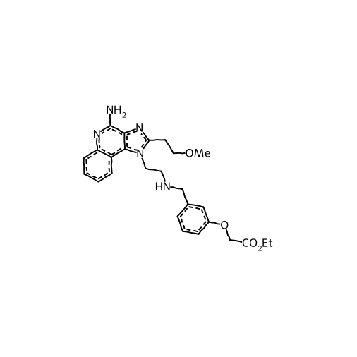 CCOC(=O)COc1cccc(CNCCn2c(CCOC)nc3c(N)nc4ccccc4c32)c1